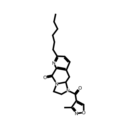 CCCCCCc1ccc2c(n1)C(=O)N1CCN(C(=O)c3conc3C)C1C2